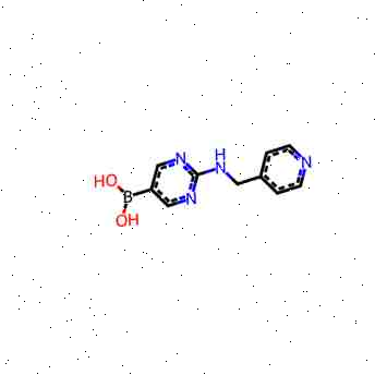 OB(O)c1cnc(NCc2ccncc2)nc1